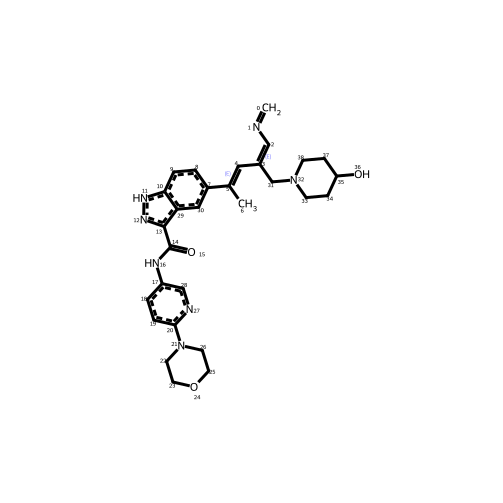 C=N/C=C(\C=C(/C)c1ccc2[nH]nc(C(=O)Nc3ccc(N4CCOCC4)nc3)c2c1)CN1CCC(O)CC1